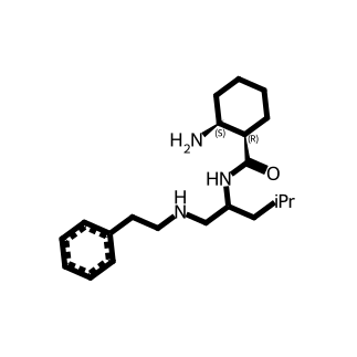 CC(C)CC(CNCCc1ccccc1)NC(=O)[C@@H]1CCCC[C@@H]1N